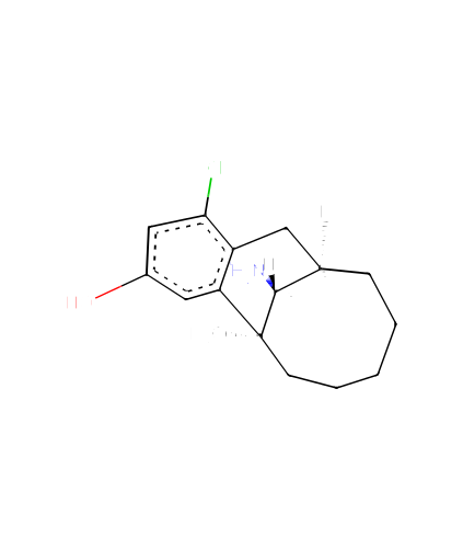 C[C@]12CCCCC[C@H](Cc3c(Cl)cc(O)cc31)[C@H]2N